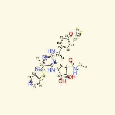 CCNC(=O)[C@H]1C[C@@H](Nc2nc(N[C@H](C)c3ccc(OC(F)(F)F)cc3)nc(C)c2-c2nc3cnccc3s2)[C@H](O)[C@@H]1O